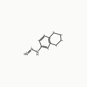 N=NNc1ccc2c(c1)CCCC2